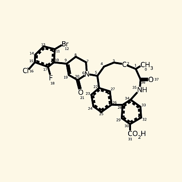 CC1CCCC(N2CCC(c3c(Br)ccc(Cl)c3F)=CC2=O)c2cccc(c2)-c2cc(C(=O)O)ccc2NC1=O